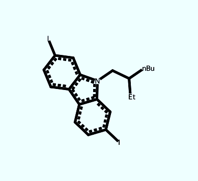 CCCCC(CC)Cn1c2cc(I)ccc2c2ccc(I)cc21